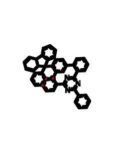 C1=CC2c3ccccc3C3(c4ccccc4Oc4cc(-c5ccccc5-c5nc(-c6ccccc6)nc(-c6ccccc6)n5)ccc43)C2C=C1